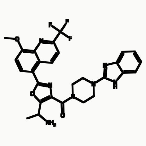 COc1ccc(-c2nc(C(=O)N3CCN(c4nc5ccccc5[nH]4)CC3)c(C(C)N)o2)c2ccc(C(F)(F)F)nc12